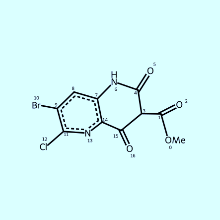 COC(=O)C1C(=O)Nc2cc(Br)c(Cl)nc2C1=O